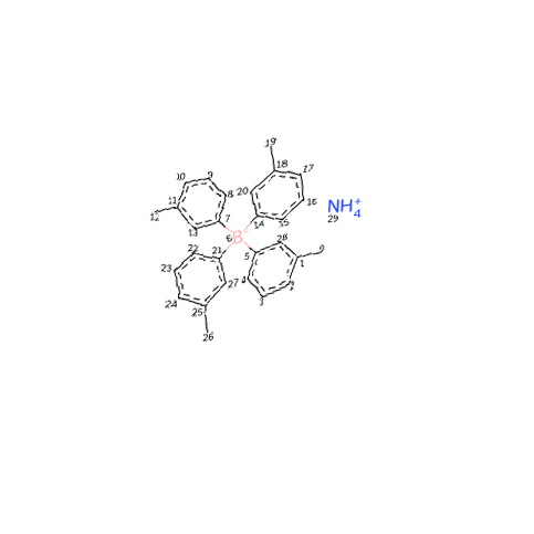 Cc1cccc([B-](c2cccc(C)c2)(c2cccc(C)c2)c2cccc(C)c2)c1.[NH4+]